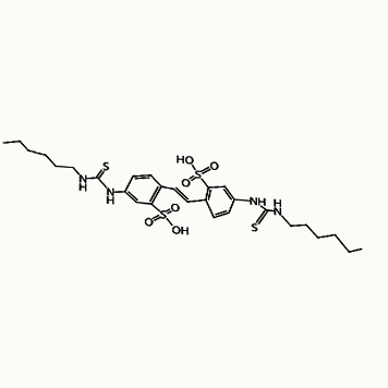 CCCCCCNC(=S)Nc1ccc(C=Cc2ccc(NC(=S)NCCCCCC)cc2S(=O)(=O)O)c(S(=O)(=O)O)c1